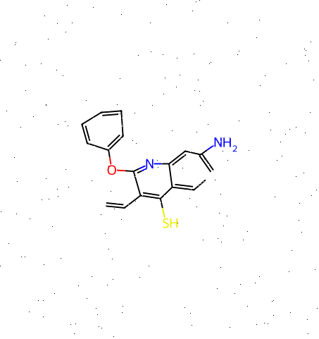 C=Cc1c(Oc2ccccc2)nc(=C/C(=C)N)/c(=C\C)c1S